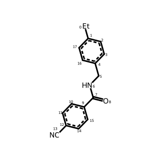 CCc1ccc(CNC(=O)c2ccc(C#N)cc2)cc1